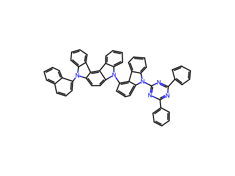 c1ccc(-c2nc(-c3ccccc3)nc(-n3c4ccccc4c4c(-n5c6ccccc6c6c7c8ccccc8n(-c8cccc9ccccc89)c7ccc65)cccc43)n2)cc1